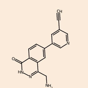 C#Cc1cncc(-c2ccc3c(=O)[nH]nc(CN)c3c2)c1